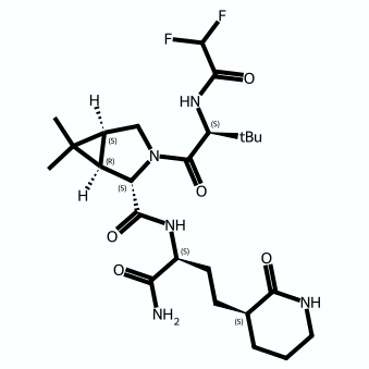 CC(C)(C)[C@H](NC(=O)C(F)F)C(=O)N1C[C@H]2[C@@H]([C@H]1C(=O)N[C@@H](CC[C@@H]1CCCNC1=O)C(N)=O)C2(C)C